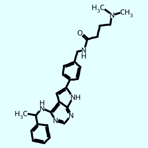 CC(Nc1ncnc2[nH]c(-c3ccc(CNC(=O)CCCN(C)C)cc3)cc12)c1ccccc1